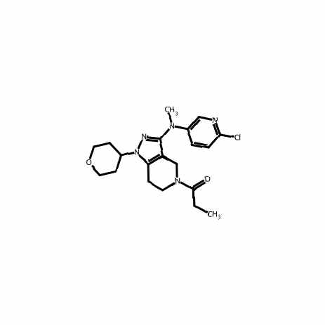 CCC(=O)N1CCc2c(c(N(C)c3ccc(Cl)nc3)nn2C2CCOCC2)C1